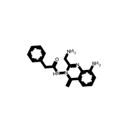 Bc1cccc2c1N=C(CN)N(NC(=O)Cc1ccccc1)C2=C